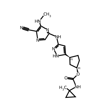 CNc1nc(Nc2cc([C@H]3CC[C@@H](OC(=O)NC4(C)CC4)C3)[nH]n2)cnc1C#N